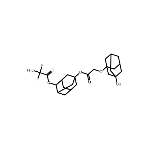 CC(F)(F)C(=O)OC1C2CC3CC1CC(OC(=O)COC14CC5CC(CC(O)(C5)C1)C4)(C3)C2